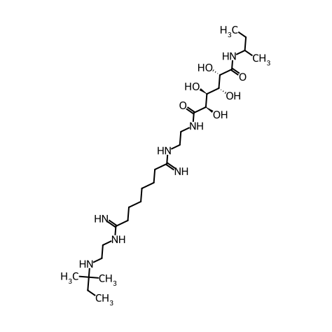 CCC(C)NC(=O)[C@@H](O)[C@H](O)[C@H](O)[C@@H](O)C(=O)NCCNC(=N)CCCCCCC(=N)NCCNC(C)(C)CC